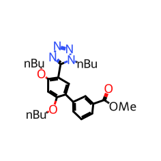 CCCCOc1cc(OCCCC)c(-c2nnnn2CCCC)cc1-c1cccc(C(=O)OC)c1